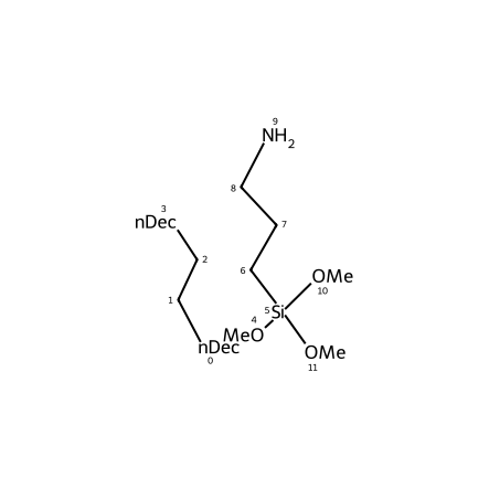 CCCCCCCCCCCCCCCCCCCCCC.CO[Si](CCCN)(OC)OC